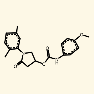 COc1ccc(NC(=O)OC2CC(=O)N(c3cc(C)ccc3C)C2)cc1